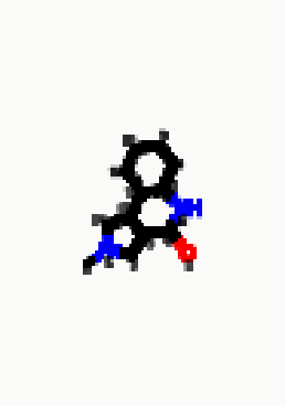 Cn1cc2c(=O)[nH]c3ccccc3c2c1